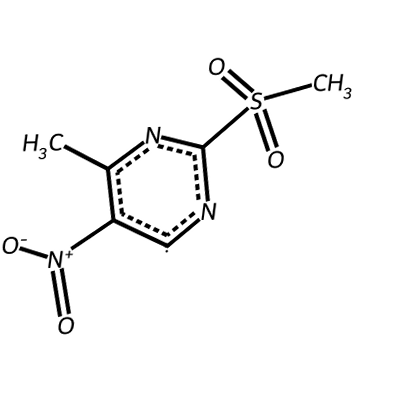 Cc1nc(S(C)(=O)=O)n[c]c1[N+](=O)[O-]